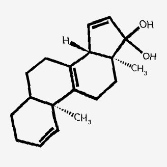 C[C@]12CCC3=C(CCC4CCC=C[C@]34C)[C@@H]1C=CC2(O)O